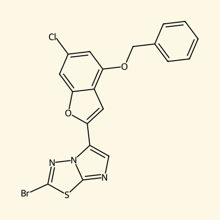 Clc1cc(OCc2ccccc2)c2cc(-c3cnc4sc(Br)nn34)oc2c1